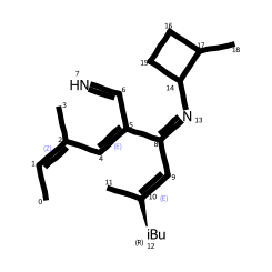 C/C=C(C)\C=C(/C=N)C(/C=C(\C)[C@H](C)CC)=NC1CCC1C